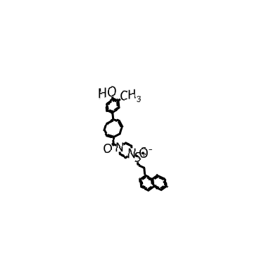 Cc1cc(C2=C/C/C=C(/C(=O)N3CCN([S+]([O-])CCc4cccc5ccccc45)CC3)C/C=C\2)ccc1O